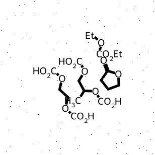 CC(COC(=O)O)OC(=O)O.CCOC(=O)OCC.O=C(O)OCCOC(=O)O.O=C1CCCO1